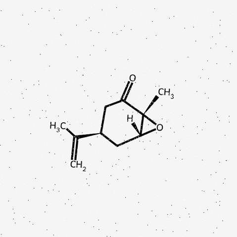 C=C(C)[C@H]1CC(=O)[C@]2(C)O[C@@H]2C1